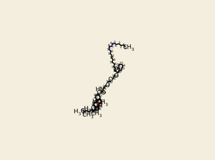 CCCCC/C=C\C/C=C\CCCCCCCCOCC(CN1CCCCC1)OCCOCCOCCNC(=O)O[C@H]1CC[C@@]2(C)C(=CC[C@H]3[C@@H]4CC[C@H]([C@H](C)CCCC(C)C)[C@@]4(C)CC[C@@H]32)C1